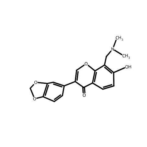 CN(C)Cc1c(O)ccc2c(=O)c(-c3ccc4c(c3)OCO4)coc12